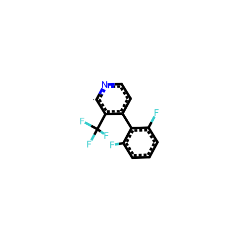 Fc1cccc(F)c1-c1ccn[c]c1C(F)(F)F